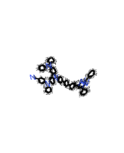 N#Cc1ccc(N(c2ccccc2)c2ccc3c(c2)c2cc(N(c4ccccc4)c4ccccc4)ccc2n3-c2ccc(-c3ccc(-c4ccc(-c5cc(-c6ccccc6)nc(-c6ccccc6)n5)cc4)cc3)cc2)cc1